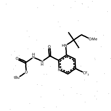 COCC(C)(C)Nc1cc(C(F)(F)F)cnc1C(=O)NNC(=O)OC(C)(C)C